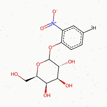 [2H]c1ccc(OC2O[C@H](CO)[C@H](O)[C@H](O)[C@H]2O)c([N+](=O)[O-])c1